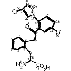 N[C@@H](Cc1ccccc1CC(=O)c1cc(Cl)ccc1-n1cc(Cl)nn1)C(=O)O